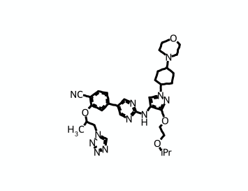 CC(C)OCCOc1nn(C2CCC(N3CCOCC3)CC2)cc1Nc1ncc(-c2ccc(C#N)c(OC(C)Cn3cnnn3)c2)cn1